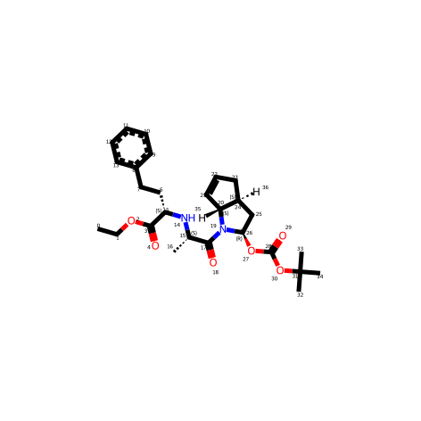 CCOC(=O)[C@H](CCc1ccccc1)N[C@@H](C)C(=O)N1[C@@H]2C=CC[C@H]2C[C@H]1OC(=O)OC(C)(C)C